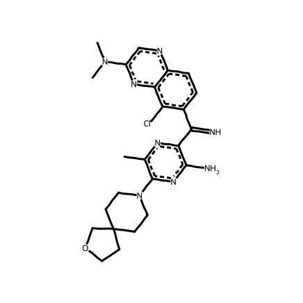 Cc1nc(C(=N)c2ccc3ncc(N(C)C)nc3c2Cl)c(N)nc1N1CCC2(CCOC2)CC1